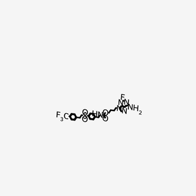 Nc1nc(F)nc2c1ncn2CCCCOC(=O)NCc1ccc(S(=O)(=O)CCc2ccc(C(F)(F)F)cc2)cc1